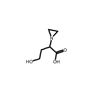 O=C(O)C(CCO)N1CC1